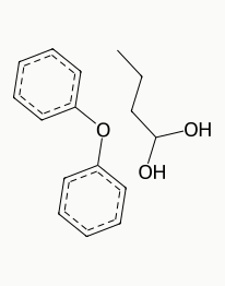 CCCC(O)O.c1ccc(Oc2ccccc2)cc1